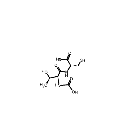 C[C@@H](O)[C@H](NC(=O)O)C(=O)N[C@@H](CS)C(=O)S